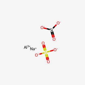 O=S(=O)([O-])[O-].O=[Si]([O-])[O-].[Al+3].[Na+]